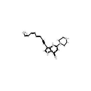 C\C=C/C=C\C=C\C#Cc1csc2c(=O)cc(N3CCOCC3)oc12